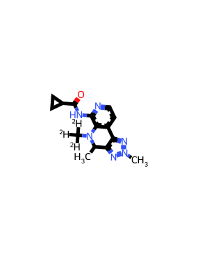 [2H]C([2H])([2H])N1c2c(ccnc2NC(=O)C2CC2)-c2nn(C)nc2C1C